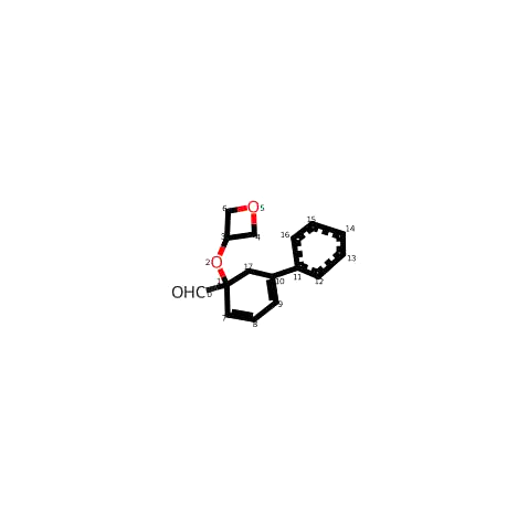 O=CC1(OC2COC2)C=CC=C(c2ccccc2)C1